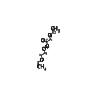 CCOCCOOC(=O)COCC